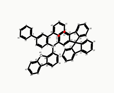 c1ccc(-c2ccc(N(c3ccc4c(c3)C3(c5ccccc5-c5ccccc53)c3ccccc3-4)c3cccc4c3oc3ccccc34)c(-c3ccccc3)c2)cc1